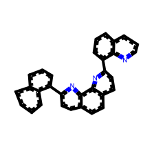 c1ccc2c(-c3ccc4ccc5ccc(-c6cccc7cccnc67)nc5c4n3)cccc2c1